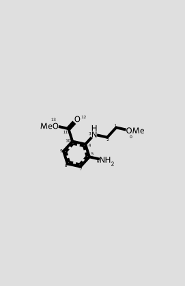 COCCNc1c(N)cccc1C(=O)OC